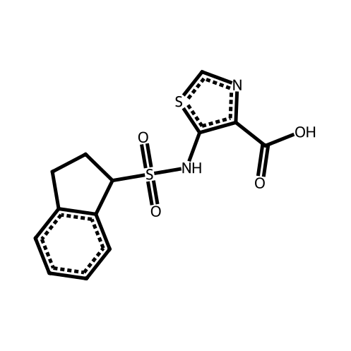 O=C(O)c1ncsc1NS(=O)(=O)C1CCc2ccccc21